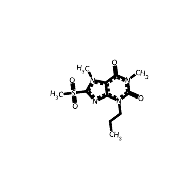 CCCn1c(=O)n(C)c(=O)c2c1nc(S(C)(=O)=O)n2C